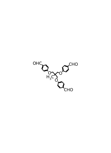 CC(COc1ccc(C=O)cc1)(COc1ccc(C=O)cc1)COc1ccc(C=O)cc1